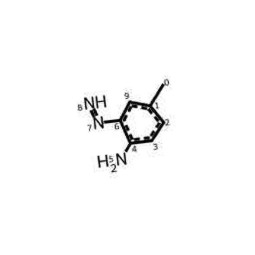 Cc1ccc(N)c(N=N)c1